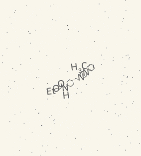 CCOCC(=O)N[C@H]1CC[C@H](CCN2CCN(c3ccccc3C)CC2)CC1